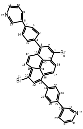 Brc1cc(-c2ccc(-c3cccnc3)cc2)c2ccc3c(Br)cc(-c4ccc(-c5cccnc5)cc4)c4ccc1c2c34